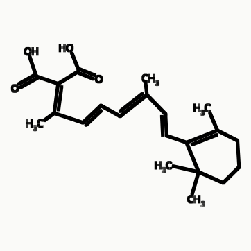 CC(C=CC1=C(C)CCCC1(C)C)=CC=CC(C)=C(C(=O)O)C(=O)O